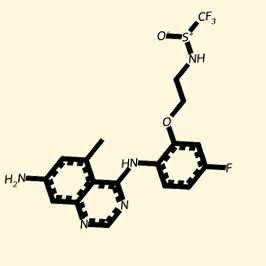 Cc1cc(N)cc2ncnc(Nc3ccc(F)cc3OCCN[S+]([O-])C(F)(F)F)c12